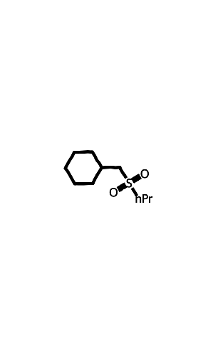 CCCS(=O)(=O)CC1CCCCC1